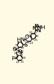 O=C1Nc2ccc(S(=O)(=O)Cc3c(F)cccc3F)cc2S/C1=C/c1ccc(-c2nn[nH]n2)cc1